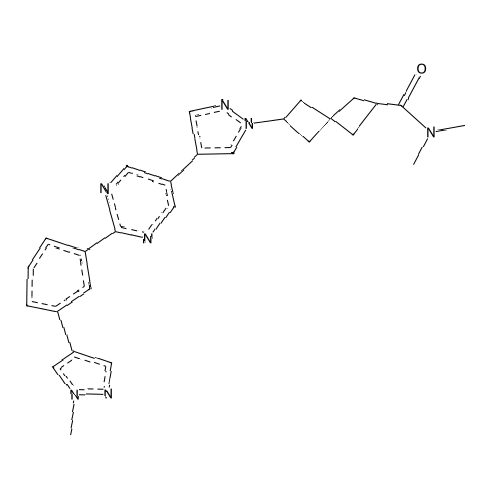 CN(C)C(=O)C1CC2(C1)CC(n1cc(-c3cnc(-c4cccc(-c5cnn(C)c5)c4)nc3)cn1)C2